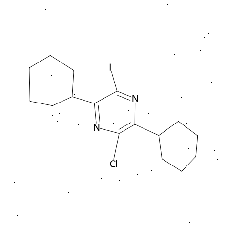 Clc1nc(C2CCCCC2)c(I)nc1C1CCCCC1